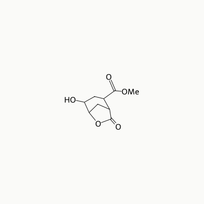 COC(=O)C1CC(O)C2CC1C(=O)O2